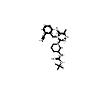 Cc1nnc(N2CCCC(NC(=O)OC(C)(C)C)C2)n(Cc2ccccc2C#N)c1=O